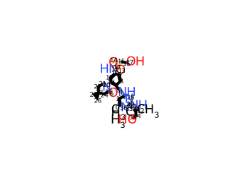 Cc1cc(NC(=O)c2ccc(NS(=O)(=O)CCO)cc2N2CCC3(CC2)CC3)nc(NC(C)(C)CO)n1